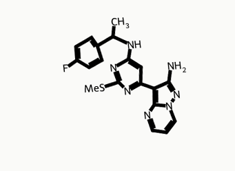 CSc1nc(NC(C)c2ccc(F)cc2)cc(-c2c(N)nn3cccnc23)n1